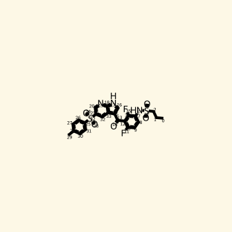 CCCS(=O)(=O)Nc1ccc(F)c(C(=O)c2c[nH]c3ncc(S(=O)(=O)c4ccc(C)cc4)cc23)c1F